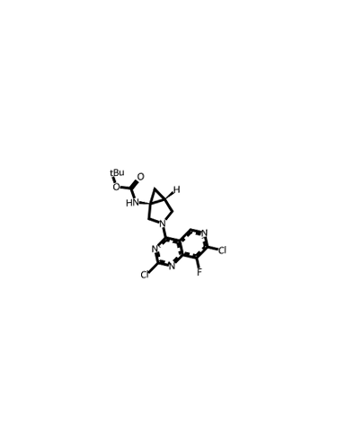 CC(C)(C)OC(=O)N[C@@]12C[C@@H]1CN(c1nc(Cl)nc3c(F)c(Cl)ncc13)C2